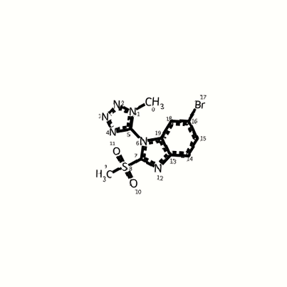 Cn1nnnc1-n1c(S(C)(=O)=O)nc2ccc(Br)cc21